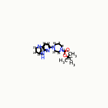 CC(C)(C)OC(=O)N1CCCN(c2ccc3c(n2)NC2CCN3CC2)CC1